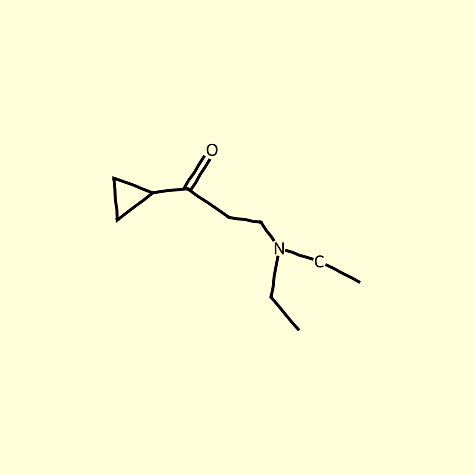 CCN(CC)CCC(=O)C1CC1